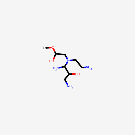 CCOC(O)CN(CCN)C(N)C(O)CN